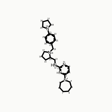 c1cc(N2CCCCCC2)nc(NCC2CCCN2Cc2ccc(N3CCCC3)cc2)n1